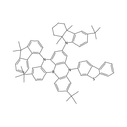 CC(C)(C)c1ccc2c(c1)N(c1ccc3c(c1)sc1ccccc13)c1cc(N3c4ccc(C(C)(C)C)cc4C4(C)CCCCC34C)cc3c1B2c1ccc(C(C)(C)C)cc1N3c1cccc2c1-c1ccccc1C2(C)C